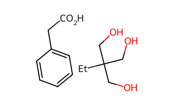 CCC(CO)(CO)CO.O=C(O)Cc1ccccc1